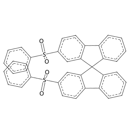 O=S(=O)(c1ccccc1)c1ccc2c(c1)C1(c3ccccc3-2)c2ccccc2-c2ccc(S(=O)(=O)c3ccccc3)cc21